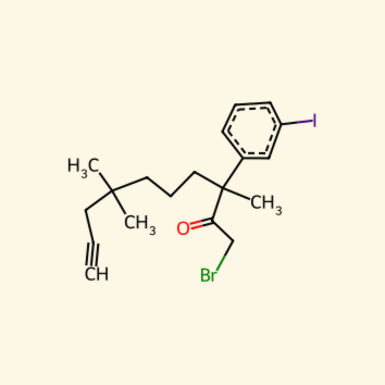 C#CCC(C)(C)CCCC(C)(C(=O)CBr)c1cccc(I)c1